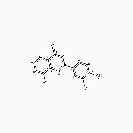 CC(C)c1cc(-c2cc(=O)c3cccc(Cl)c3o2)ccc1O